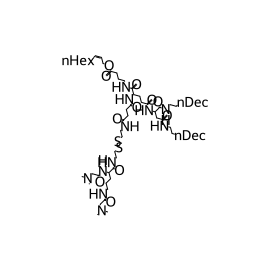 CCCCCC/C=C\COC(=O)CCCNC(=O)C(CCC(=O)NC(CC(=O)NCCCCCCCCCCCC)C(=O)NCCCCCCCCCCCC)NC(=O)CCC(=O)NCCSSCCNC(=O)C(CCCNC(=O)CN(C)C)NC(=O)CN(C)C